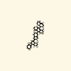 c1ccc2c(-c3c4ccccc4c(-c4ccc5cc(-c6cc7oc8ccccc8c7c7ccccc67)ccc5c4)c4ccccc34)cccc2c1